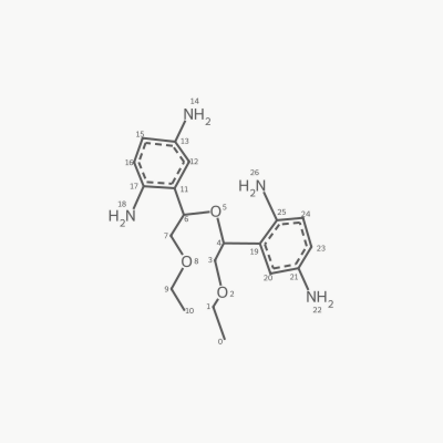 CCOCC(OC(COCC)c1cc(N)ccc1N)c1cc(N)ccc1N